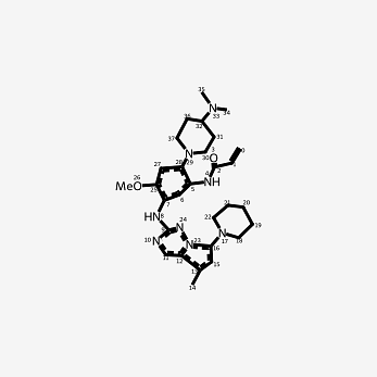 C=CC(=O)Nc1cc(Nc2ncc3c(C)cc(N4CCCCC4)n3n2)c(OC)cc1N1CCC(N(C)C)CC1